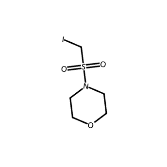 O=S(=O)(CI)N1CCOCC1